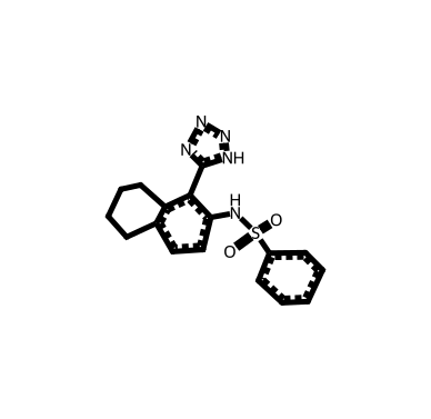 O=S(=O)(Nc1ccc2c(c1-c1nnn[nH]1)CCCC2)c1ccccc1